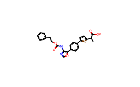 CC(C(=O)O)c1ccc(-c2ccc(-c3ocnc3NC(=O)OCCc3ccccc3)cc2)s1